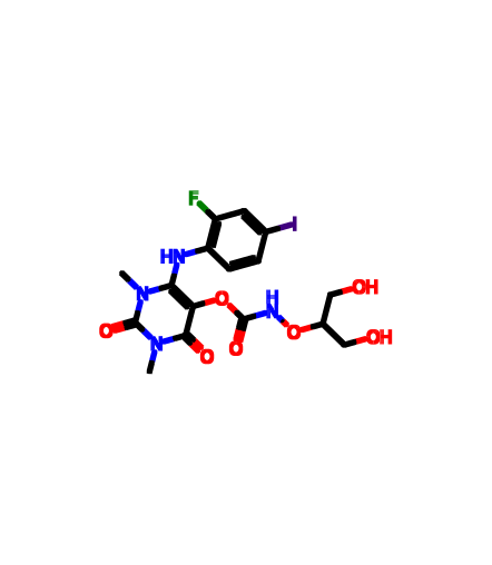 Cn1c(Nc2ccc(I)cc2F)c(OC(=O)NOC(CO)CO)c(=O)n(C)c1=O